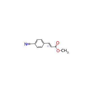 COC(=O)/C=C/c1ccc(C#N)cc1